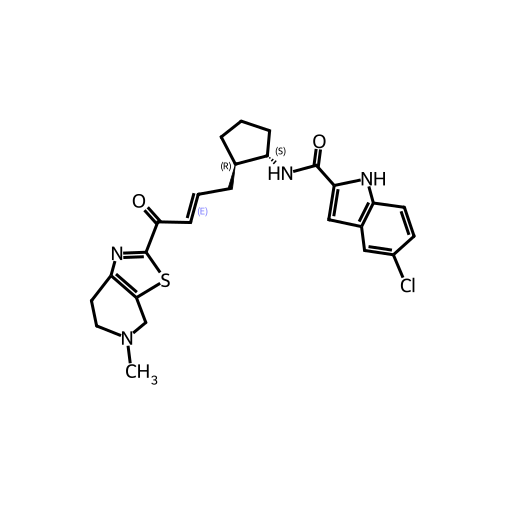 CN1CCc2nc(C(=O)/C=C/C[C@H]3CCC[C@@H]3NC(=O)c3cc4cc(Cl)ccc4[nH]3)sc2C1